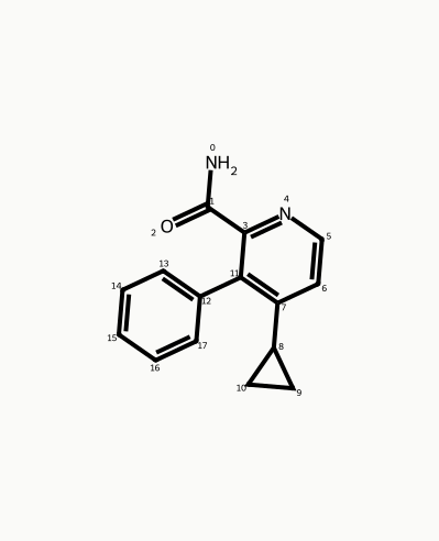 NC(=O)c1nccc(C2CC2)c1-c1ccccc1